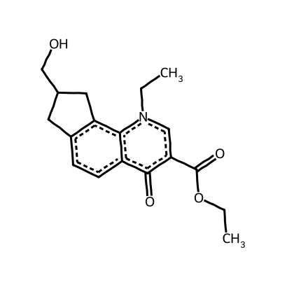 CCOC(=O)c1cn(CC)c2c3c(ccc2c1=O)CC(CO)C3